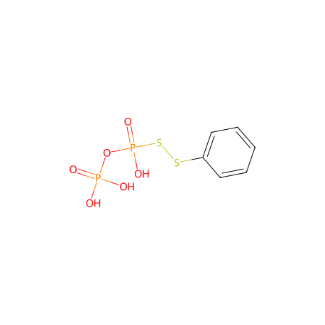 O=P(O)(O)OP(=O)(O)SSc1ccccc1